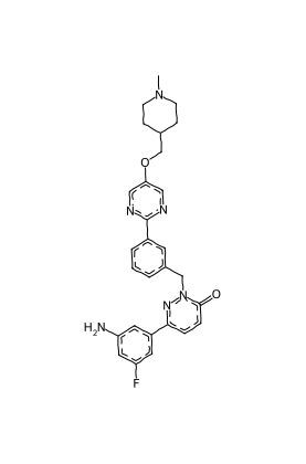 CN1CCC(COc2cnc(-c3cccc(Cn4nc(-c5cc(N)cc(F)c5)ccc4=O)c3)nc2)CC1